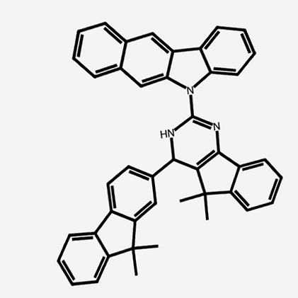 CC1(C)C2=C(N=C(n3c4ccccc4c4cc5ccccc5cc43)NC2c2ccc3c(c2)C(C)(C)c2ccccc2-3)c2ccccc21